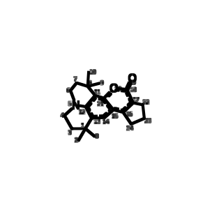 CC1(C)CCN2CCC(C)(C)c3c2c1cc1c2c(c(=O)oc31)CCC2